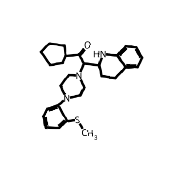 CSc1ccccc1N1CCN(C(C(=O)C2CCCCC2)C2CCc3ccccc3N2)CC1